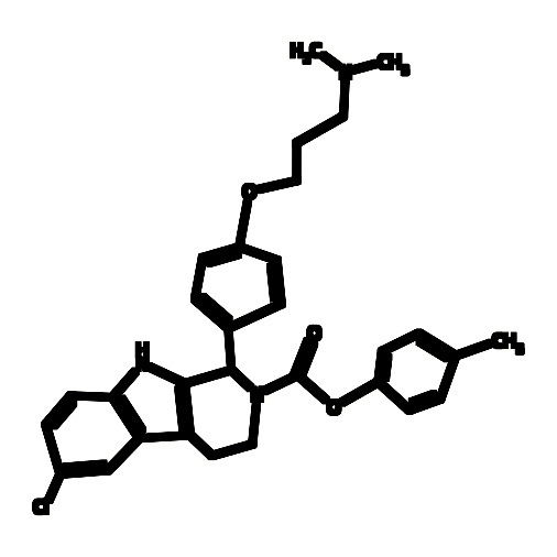 Cc1ccc(OC(=O)N2CCc3c([nH]c4ccc(Cl)cc34)C2c2ccc(OCCCN(C)C)cc2)cc1